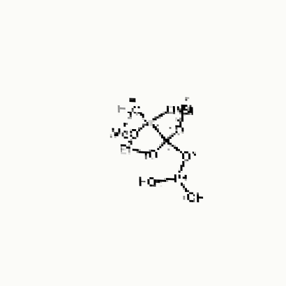 CCOC(OCC)(OP(O)O)[Si](C)(OC)OC